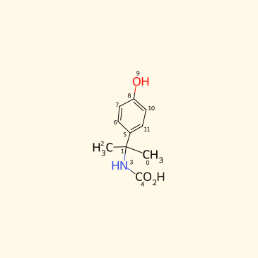 CC(C)(NC(=O)O)c1ccc(O)cc1